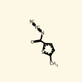 Cc1ccc(C(=O)N=[N+]=[N-])s1